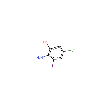 Nc1c(Br)cc(Cl)cc1I